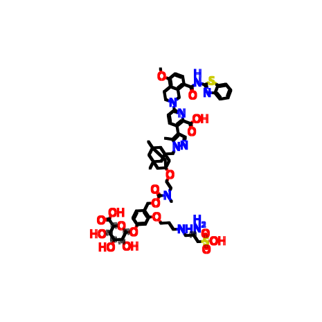 COc1ccc(C(=O)Nc2nc3ccccc3s2)c2c1CCN(c1ccc(-c3cnn(CC45CC6(C)CC(C)(C4)CC(OCCN(C)C(=O)OCc4ccc(O[C@@H]7O[C@H](C(=O)O)[C@@H](O)[C@H](O)[C@H]7O)cc4OCCCNC[C@@H](N)CS(=O)(=O)O)(C6)C5)c3C)c(C(=O)O)n1)C2